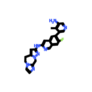 Cc1c(N)cncc1-c1cc2cc(Nc3cc4n(n3)Cc3nccn3CC4)ncc2cc1F